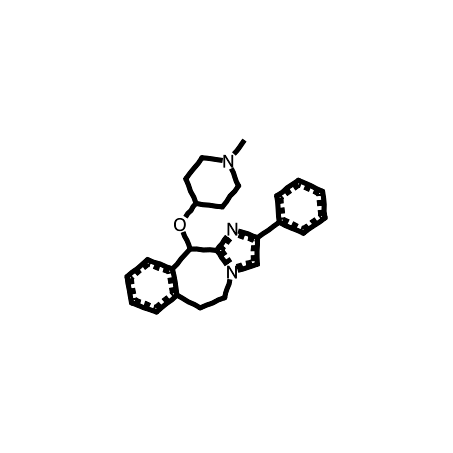 CN1CCC(OC2c3ccccc3CCn3cc(-c4ccccc4)nc32)CC1